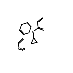 C1=CCCCC1.C=CC(=O)O.C=CC(=O)OC1CC1